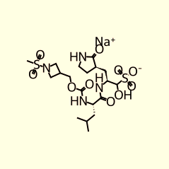 CC(C)C[C@H](NC(=O)OCC1CN(S(C)(=O)=O)C1)C(=O)N[C@@H](C[C@H]1CCNC1=O)C(O)S(=O)(=O)[O-].[Na+]